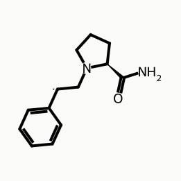 NC(=O)[C@@H]1CCCN1C[CH]c1ccccc1